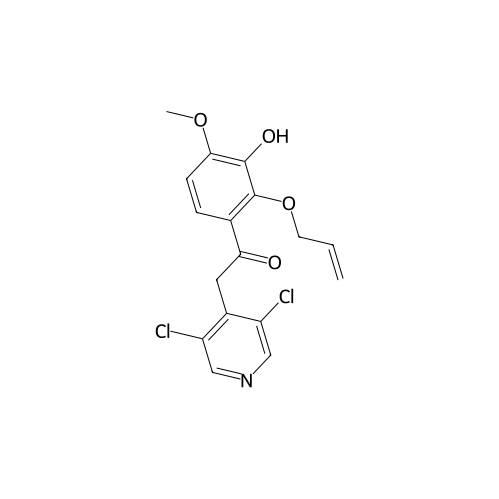 C=CCOc1c(C(=O)Cc2c(Cl)cncc2Cl)ccc(OC)c1O